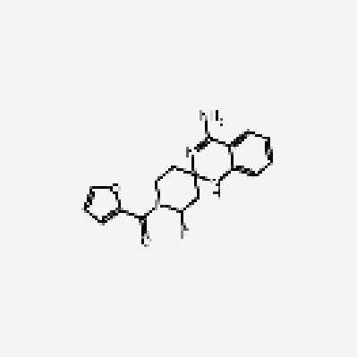 NC1=NC2(CCN(C(=O)c3ccco3)C(F)C2)Nc2ccccc21